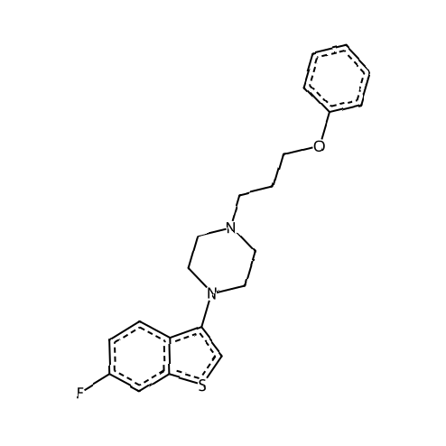 Fc1ccc2c(N3CCN(CCCOc4ccccc4)CC3)csc2c1